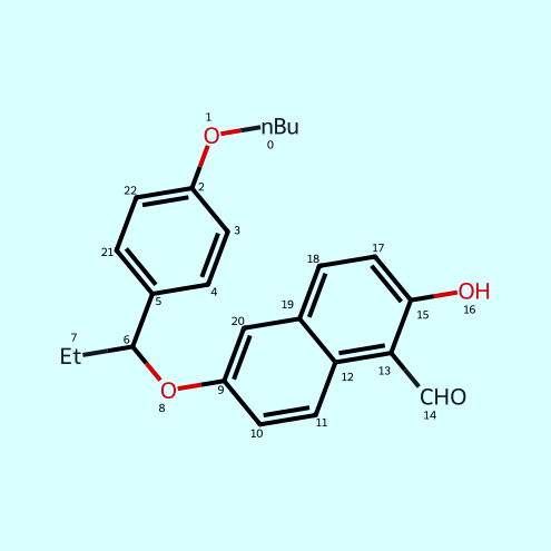 CCCCOc1ccc(C(CC)Oc2ccc3c(C=O)c(O)ccc3c2)cc1